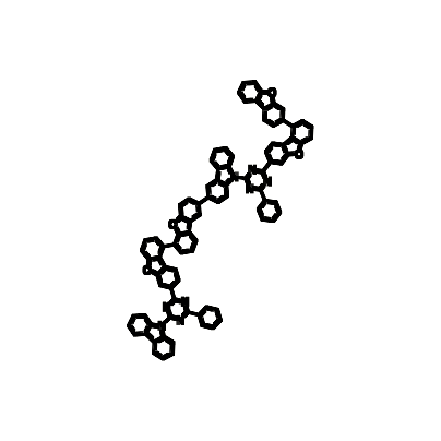 c1ccc(-c2nc(-c3ccc4c(c3)oc3cccc(-c5cccc6c5oc5ccc(-c7ccc8c(c7)c7ccccc7n8-c7nc(-c8ccccc8)nc(-c8ccc9c(c8)oc8cccc(-c%10ccc%11c(c%10)oc%10ccccc%10%11)c89)n7)cc56)c34)nc(-n3c4ccccc4c4ccccc43)n2)cc1